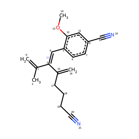 C=C(C)/C(=C/c1ccc(C#N)cc1OC)C(=C)CCCC#N